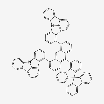 c1ccc2c(c1)-c1ccccc1C21c2ccccc2-c2c(-c3c4cccc(-c5cccc6c5c5cccc7c8ccccc8n6c75)c4cc4c(-c5cccc6c5c5cccc7c8ccccc8n6c75)cccc34)cccc21